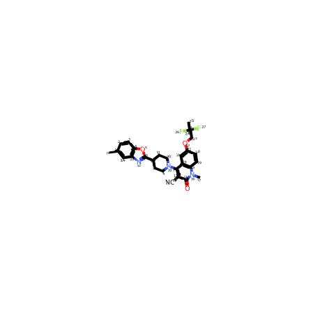 Cc1ccc2oc(C3CCN(c4c(C#N)c(=O)n(C)c5ccc(OCC(C)(F)F)cc45)CC3)nc2c1